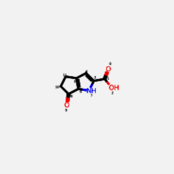 O=C(O)c1cc2c([nH]1)C(=O)CC2